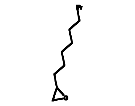 CC(C)CCCCCCC1CO1